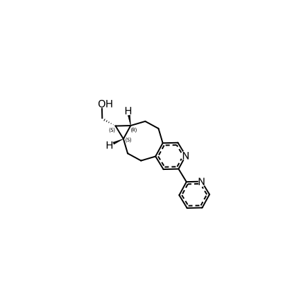 OC[C@H]1[C@H]2CCc3cc(-c4ccccn4)ncc3CC[C@@H]12